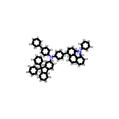 c1ccc(-c2ccc(N(c3ccc(-c4ccc5c6c4ccc4cccc(c46)n5-c4ccccc4)cc3)c3ccc4c(c3)C(c3ccccc3)(c3ccccc3)c3ccccc3-4)cc2)cc1